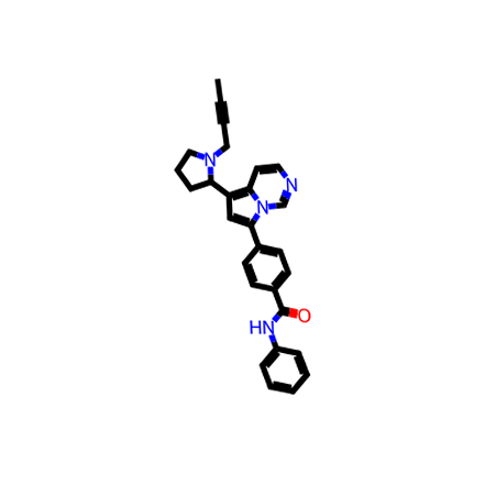 CC#CCN1CCCC1c1cc(-c2ccc(C(=O)Nc3ccccc3)cc2)n2cnccc12